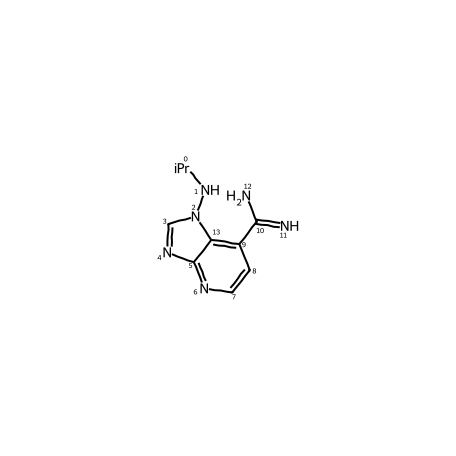 CC(C)Nn1cnc2nccc(C(=N)N)c21